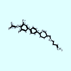 C=CCCOCC1CCC(c2ccc(-c3cc(F)c(OC=C(F)F)c(F)c3)cc2)SC1